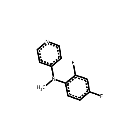 CN(c1ccncc1)c1ccc(F)cc1F